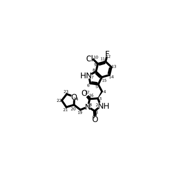 O=C1N[C@H](Cc2c[nH]c3c(Cl)c(F)ccc23)C(=O)N1CC1CCCO1